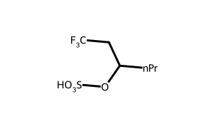 CCCC(CC(F)(F)F)OS(=O)(=O)O